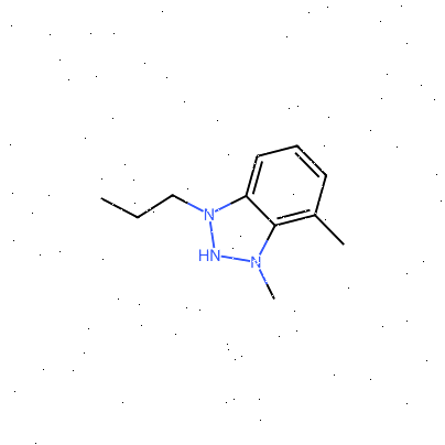 CCCN1NN(C)c2c(C)cccc21